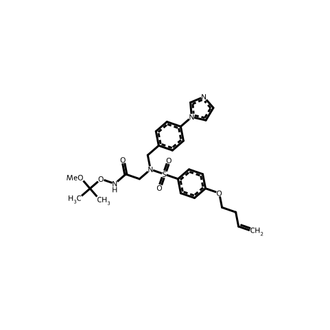 C=CCCOc1ccc(S(=O)(=O)N(CC(=O)NOC(C)(C)OC)Cc2ccc(-n3ccnc3)cc2)cc1